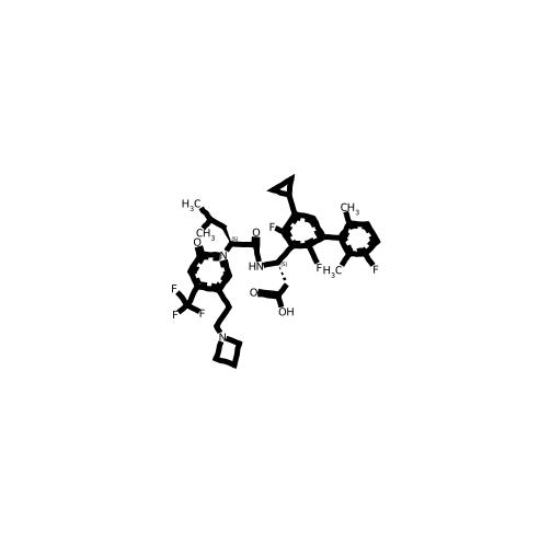 Cc1ccc(F)c(C)c1-c1cc(C2CC2)c(F)c([C@H](CC(=O)O)NC(=O)[C@H](CC(C)C)n2cc(CCN3CCC3)c(C(F)(F)F)cc2=O)c1F